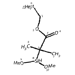 CCCCCCCCOC(=O)C(C)(C)[SiH](OC)OC